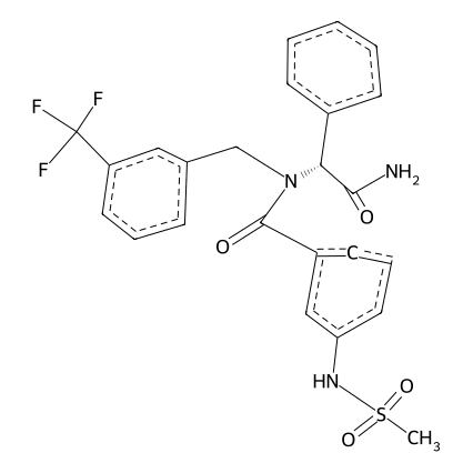 CS(=O)(=O)Nc1cccc(C(=O)N(Cc2cccc(C(F)(F)F)c2)[C@@H](C(N)=O)c2ccccc2)c1